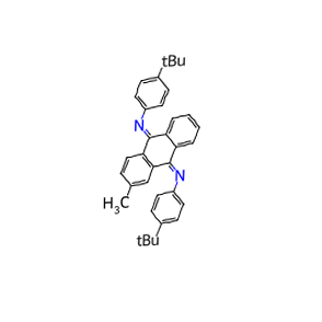 Cc1ccc2c(c1)C(=Nc1ccc(C(C)(C)C)cc1)c1ccccc1C2=Nc1ccc(C(C)(C)C)cc1